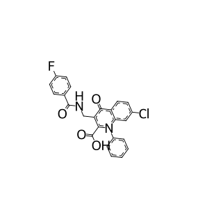 O=C(NCc1c(C(=O)O)n(-c2ccccc2)c2cc(Cl)ccc2c1=O)c1ccc(F)cc1